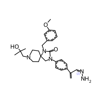 C=C(/C=N\N)c1ccc(N2CC3(CCN(CC(C)(C)O)CC3)N(Cc3cccc(OC)c3)C2=O)cc1